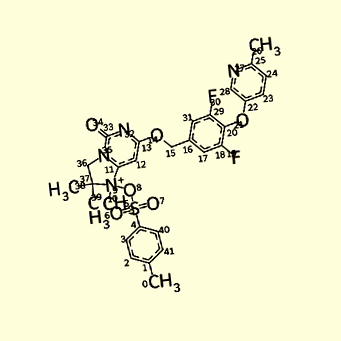 Cc1ccc(S(=O)(=O)O[N+]2(C)c3cc(OCc4cc(F)c(Oc5ccc(C)nc5)c(F)c4)nc(=O)n3CC2(C)C)cc1